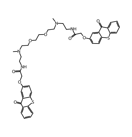 CN(CCNC(=O)COc1ccc2sc3ccccc3c(=O)c2c1)CCOCCOCCN(C)CCNC(=O)COc1ccc2sc3ccccc3c(=O)c2c1